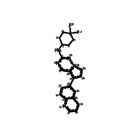 FC1(F)CCC(Nc2ncc3c(-c4ccc5ncccc5c4)ccn3n2)CC1